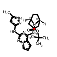 Cc1cc(Nc2nc(N[C@@H]3C[C@H]4CC[C@@H](C3)N4C(=O)OC(C)(C)C)c3cccn3n2)n[nH]1